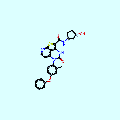 Cc1cc(Oc2ccccc2)ccc1N1C(=O)Nc2c(C(=O)N[C@H]3CC[C@@H](O)C3)sc3nccc1c23